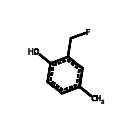 Cc1ccc(O)c(CF)c1